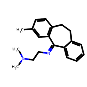 Cc1ccc2c(c1)C(=NCCN(C)C)c1ccccc1CC2